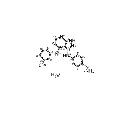 NCc1ccc(Nc2n[nH]c3ncnc(Nc4cccc(Cl)c4)c23)cc1.O